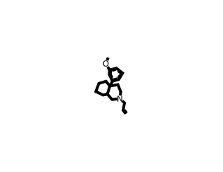 C=CCN1CCC2(c3cccc(OC)c3)CCCCC2C1